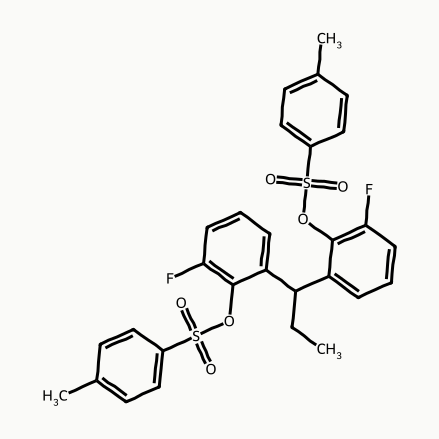 CCC(c1cccc(F)c1OS(=O)(=O)c1ccc(C)cc1)c1cccc(F)c1OS(=O)(=O)c1ccc(C)cc1